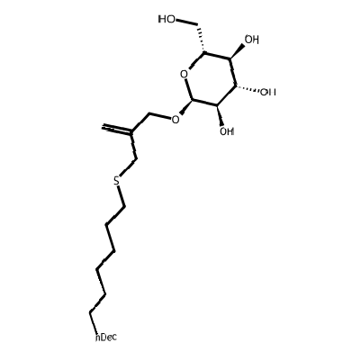 C=C(CO[C@H]1O[C@H](CO)[C@@H](O)[C@H](O)[C@H]1O)CSCCCCCCCCCCCCCCCC